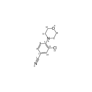 N#Cc1ccc(N2CCOCC2)c(Cl)c1